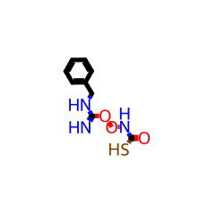 N=C(NCc1ccccc1)OONC(=O)S